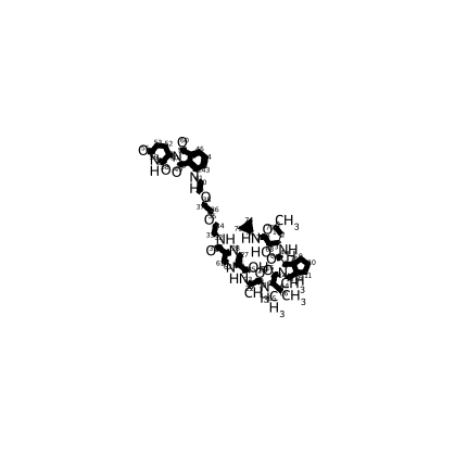 CCC[C@H](NC(=O)[C@@H]1[C@H]2CCC[C@H]2CN1C(=O)[C@@H](NC(=O)[C@H](C)NC(O)c1cnc(C(=O)NCCOCCOCCNc2cccc3c2C(=O)N(C2CCC(=O)NC2=O)C3=O)cn1)C(C)(C)C)C(O)C(=O)NC1CC1